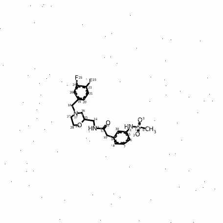 CS(=O)(=O)Nc1cccc(CC(=O)NCC2CN(Cc3ccc(F)c(F)c3)CCO2)c1